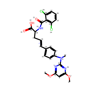 COc1cc(OC)nc(N(C)c2ccc(/C=C/CC(NC(=O)c3c(Cl)cccc3Cl)C(=O)O)cc2)n1